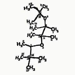 CC(O[Si](C)(C)C(C)(C)O[Si](C)(C)C)[Si](C)(C)C